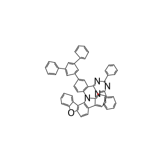 c1ccc(-c2cc(-c3ccccc3)cc(-c3ccc(-n4c5ccccc5c5ccc6oc7ccccc7c6c54)c(-c4nc(-c5ccccc5)nc(-c5ccccc5)n4)c3)c2)cc1